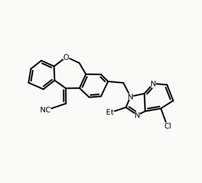 CCc1nc2c(Cl)ccnc2n1Cc1ccc2c(c1)COc1ccccc1/C2=C\C#N